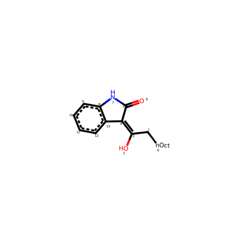 CCCCCCCCCC(O)=C1C(=O)Nc2ccccc21